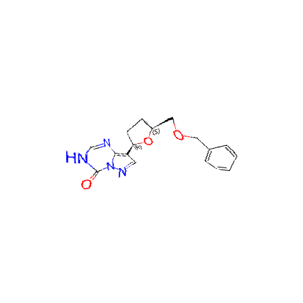 O=c1[nH]cnc2c([C@H]3CC[C@@H](COCc4ccccc4)O3)cnn12